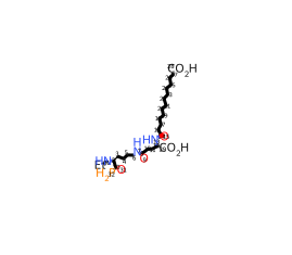 CCN[C@@H](CCCCNC(=O)CC[C@H](NC(=O)CCCCCCCCCCCCC(=O)O)C(=O)O)C(=O)P